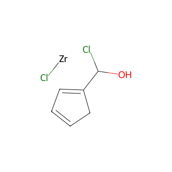 OC(Cl)C1=CC=CC1.[Cl][Zr]